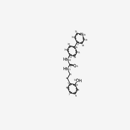 O=C(NCCc1ccccc1O)Nc1ccc(-c2ccncc2)cc1